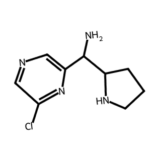 NC(c1cncc(Cl)n1)C1CCCN1